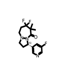 CC1(C)C(=O)N2[C@H](c3cncc(F)c3)CCN2CCC1(F)F